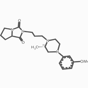 COc1cccc(N2CCN(CCCN3C(=O)C4CCCN4C3=O)[C@@H](C)C2)c1